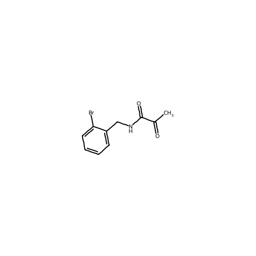 CC(=O)C(=O)NCc1ccccc1Br